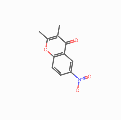 Cc1oc2ccc([N+](=O)[O-])cc2c(=O)c1C